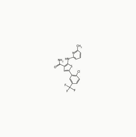 Cc1cccc(Nc2sc(-c3cc(C(F)(F)F)ccc3Cl)cc2C(N)=O)n1